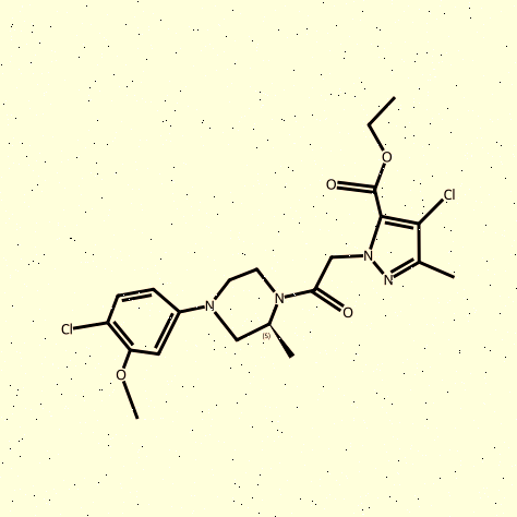 CCOC(=O)c1c(Cl)c(C)nn1CC(=O)N1CCN(c2ccc(Cl)c(OC)c2)C[C@@H]1C